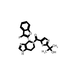 CC(C)(O)c1ncc(C(=O)N2CCc3[nH]cnc3[C@@H]2c2oc3ccccc3c2F)s1